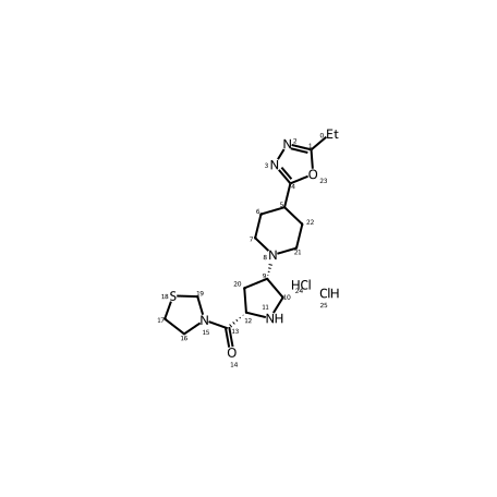 CCc1nnc(C2CCN([C@@H]3CN[C@H](C(=O)N4CCSC4)C3)CC2)o1.Cl.Cl